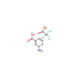 NC1C=C(C(=O)O)C=CC1.O=C(O)C(F)(F)F